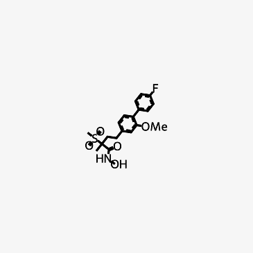 COc1cc(CCC(C)(C(=O)NO)S(C)(=O)=O)ccc1-c1ccc(F)cc1